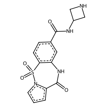 O=C(NC1CNC1)c1ccc2c(c1)NC(=O)c1cccn1S2(=O)=O